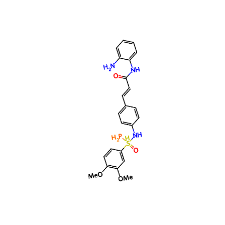 COc1ccc([SH](=O)(P)Nc2ccc(/C=C/C(=O)Nc3ccccc3N)cc2)cc1OC